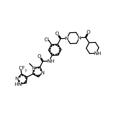 Cn1c(-c2c[nH]nc2C(F)(F)F)cnc1C(=O)Nc1ccc(C(=O)N2CCN(C(=O)C3CCNCC3)CC2)c(Cl)c1